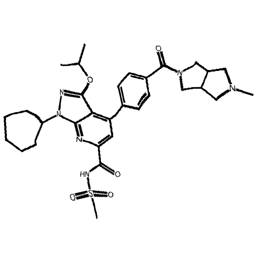 CC(C)Oc1nn(C2CCCCC2)c2nc(C(=O)NS(C)(=O)=O)cc(-c3ccc(C(=O)N4CC5CN(C)CC5C4)cc3)c12